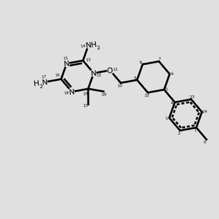 Cc1ccc(C2CCCC(CON3C(N)=NC(N)=NC3(C)C)C2)cc1